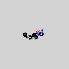 O=C1CCC(N2C(=O)c3ccc(C4(F)CCN(Cc5ccccc5)CC4)c4nccc2c34)C(=O)N1